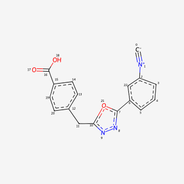 [C-]#[N+]c1cccc(-c2nnc(Cc3ccc(C(=O)O)cc3)o2)c1